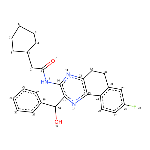 O=C(CC1CCCCC1)Nc1nc2c(nc1C(O)c1ccccc1)-c1ccc(F)cc1CC2